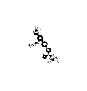 COCOc1cc(-c2cnc(C)s2)ccc1-c1ccc(N2CC[C@@H](N(C(=O)OC(C)(C)C)C3CCC3)C2)nn1